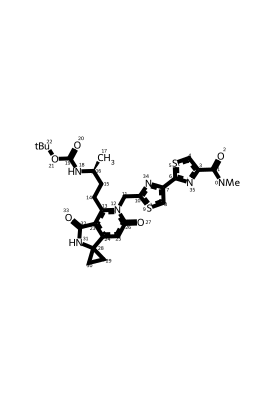 CNC(=O)c1csc(-c2csc(Cn3c(CC[C@H](C)NC(=O)OC(C)(C)C)c4c(cc3=O)C3(CC3)NC4=O)n2)n1